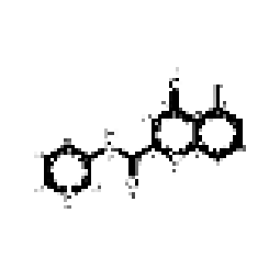 Cc1cccc2oc(C(=O)Nc3cccnc3)cc(=O)c12